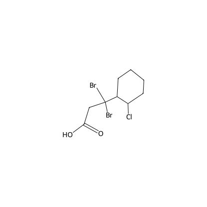 O=C(O)CC(Br)(Br)C1CCCCC1Cl